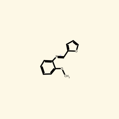 COc1ccccc1/N=C/c1ccco1